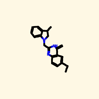 C=C1NC(CN2CC(C)c3ccccc32)=Nc2ccc(CC)cc21